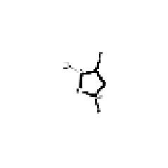 CC[C@@H]1CC(F)[C@@H](Cl)O1